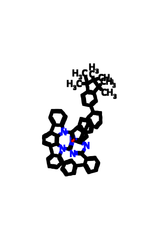 CC1(C)c2ccc(-c3cccc(-c4cccc(-n5c6ccccc6c6ccc7c8ccccc8n(-c8nc(-c9ccccc9)nc(-c9ccccc9-c9ccccc9)n8)c7c65)c4)c3)cc2C(C)(C)C1(C)C